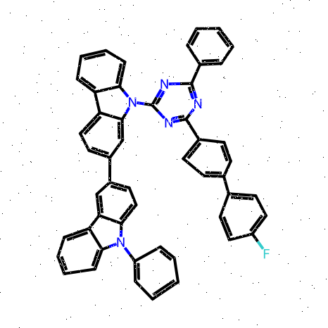 Fc1ccc(-c2ccc(-c3nc(-c4ccccc4)nc(-n4c5ccccc5c5ccc(-c6ccc7c(c6)c6ccccc6n7-c6ccccc6)cc54)n3)cc2)cc1